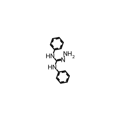 NN=C(Nc1ccccc1)Nc1ccccc1